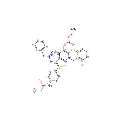 CCOC(=O)Oc1cn(Cc2c(F)cccc2Cl)c2sc(-c3ccc(NC(=O)CC)cc3)c(CN(C)Cc3ccccc3)c2c1=O